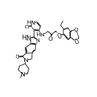 CCc1cc2c(cc1OCC(=O)CNc1cc[nH]c(=O)c1-c1nc3cc4c(cc3[nH]1)C(=O)N(C1CCN(C)CC1)C4)OCO2